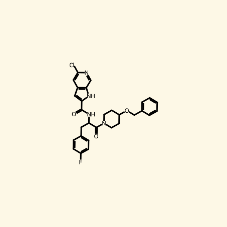 O=C(NC(Cc1ccc(F)cc1)C(=O)N1CCC(OCc2ccccc2)CC1)c1cc2cc(Cl)ncc2[nH]1